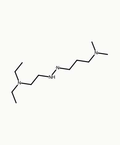 CCN(CC)CCN[N]CCCN(C)C